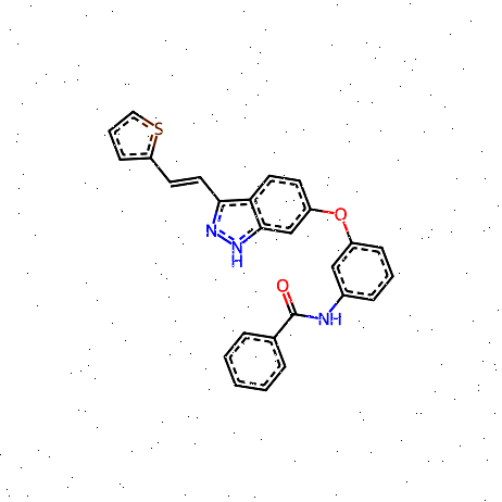 O=C(Nc1cccc(Oc2ccc3c(/C=C/c4cccs4)n[nH]c3c2)c1)c1ccccc1